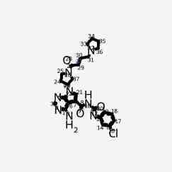 Nc1ncnc2c1c(C(=O)Nc1nc3cc(Cl)ccc3o1)cn2[C@@H]1CCN(C(=O)/C=C/CN2CCCC2)C1